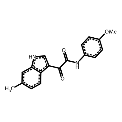 COc1ccc(NC(=O)C(=O)c2c[nH]c3cc(C)ccc23)cc1